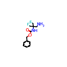 NCC(CF)(CF)NC(=O)OCc1ccccc1